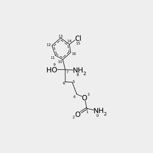 NC(=O)OCCCC(N)(O)c1cccc(Cl)c1